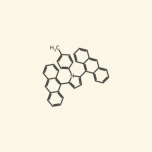 Cc1ccc(-n2c(-c3c4ccccc4cc4ccccc34)ccc2-c2c3ccccc3cc3ccccc23)cc1